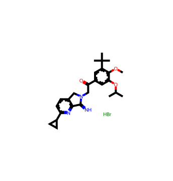 Br.COc1c(OC(C)C)cc(C(=O)CN2Cc3ccc(C4CC4)nc3C2=N)cc1C(C)(C)C